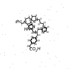 CC(C)CN1CCC2(CC1)CCN(CCCn1ccnc1CN(Cc1ccc(CC(=O)O)cc1)Cc1ncc[nH]1)C2